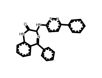 O=C1Nc2ccccc2C(c2ccccc2)=NC1Nc1ccc(-c2ccccc2)nn1